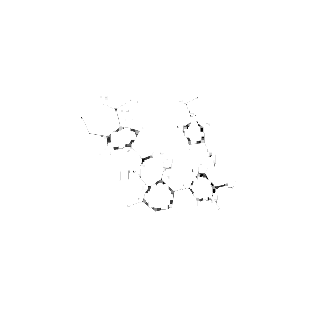 CCc1sc(C(=O)Nc2c(C)ccc(-c3cn(C)c(=O)c(Nc4cnn(CC)c4)n3)c2Cl)cc1C(C)C